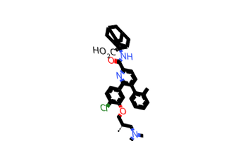 Cc1ccccc1-c1ccc(C(=O)NC2(C(=O)O)C3CC4CC(C3)CC2C4)nc1-c1ccc(Cl)c(OC[C@@H](C)CN(C)C)c1